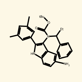 CCC(c1ccccc1)N(C(=O)OC(C)(C)C)c1c(-c2cc(C)cc(C)c2)[nH]c2ccc(N)cc12